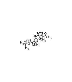 COc1cc2[nH]nc(C(=O)OC(C)(C)C)c2cc1Nc1cc(NC(C)=O)ncn1